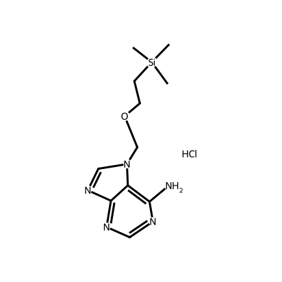 C[Si](C)(C)CCOCn1cnc2ncnc(N)c21.Cl